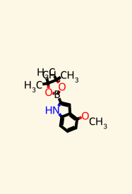 COc1cccc2[nH]c(B3OC(C)(C)C(C)(C)O3)cc12